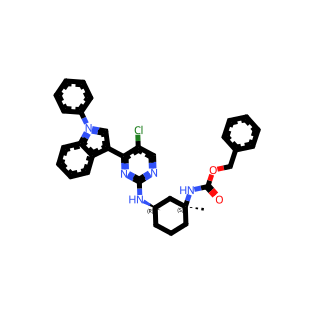 C[C@]1(NC(=O)OCc2ccccc2)CCC[C@@H](Nc2ncc(Cl)c(-c3cn(-c4ccccc4)c4ccccc34)n2)C1